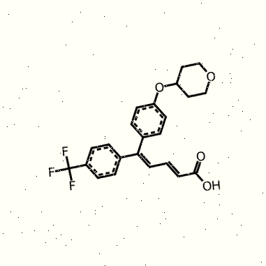 O=C(O)/C=C/C=C(\c1ccc(OC2CCOCC2)cc1)c1ccc(C(F)(F)F)cc1